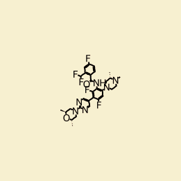 C[C@H]1CN(c2ncc(-c3c(F)cc(N4CCN(C)[C@@H](C)C4)c(NC(=O)c4ccc(F)cc4C(F)F)c3F)cn2)C[C@H](C)O1